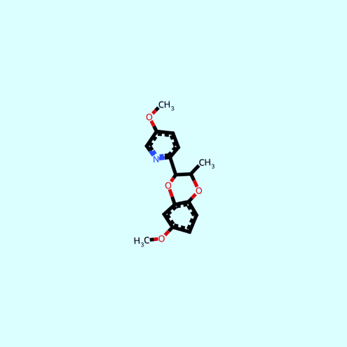 COc1ccc(C2Oc3cc(OC)ccc3OC2C)nc1